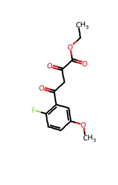 CCOC(=O)C(=O)CC(=O)c1cc(OC)ccc1F